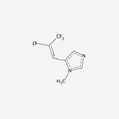 Cn1cncc1/C=C(/Cl)C(F)(F)F